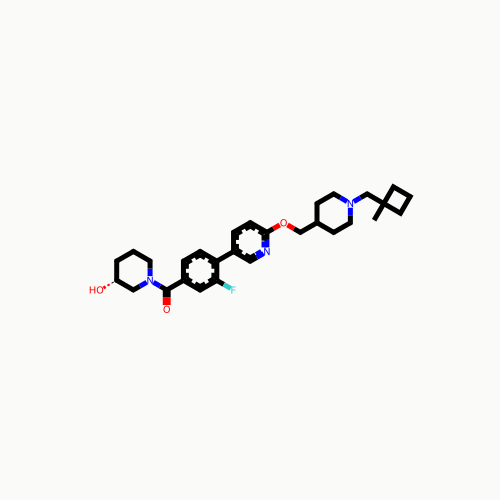 CC1(CN2CCC(COc3ccc(-c4ccc(C(=O)N5CCC[C@@H](O)C5)cc4F)cn3)CC2)CCC1